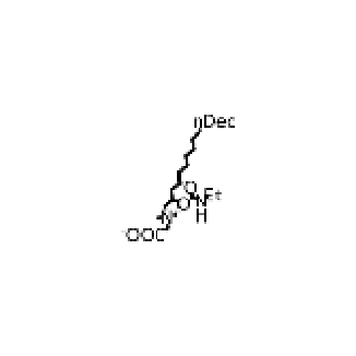 CCCCCCCCCCCCCCCCCCC(C[N+](C)(C)CC(=O)[O-])OC(=O)NCC